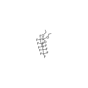 CCO[Si](OCC)(OCC)C(F)(F)C(F)(F)C(F)(F)C(F)(F)C(F)(F)F